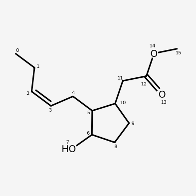 CC/C=C\CC1C(O)CCC1CC(=O)OC